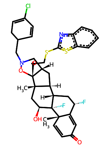 C[C@]12C=CC(=O)C=C1[C@@H](F)C[C@H]1[C@@H]3C[C@H]4CN(CC5C=CC(Cl)=CC5)O[C@@]4(C(=O)CSc4nc5ccccc5s4)[C@@]3(C)C[C@H](O)[C@@]12F